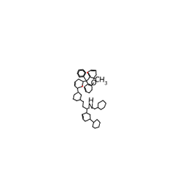 CC12CC=CC=C1C(c1ccccc1)(C1CC=CC(C3CCCC(CCC(NCC4CCCCC4)C4C=CCC(C5CCCCC5)C4)C3)C1)C1=C(CCC=C1)O2